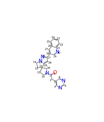 O=C(Cc1cncnc1)N1CCC2(CCn3nc(-c4cnc5ccccc5c4)cc32)C1